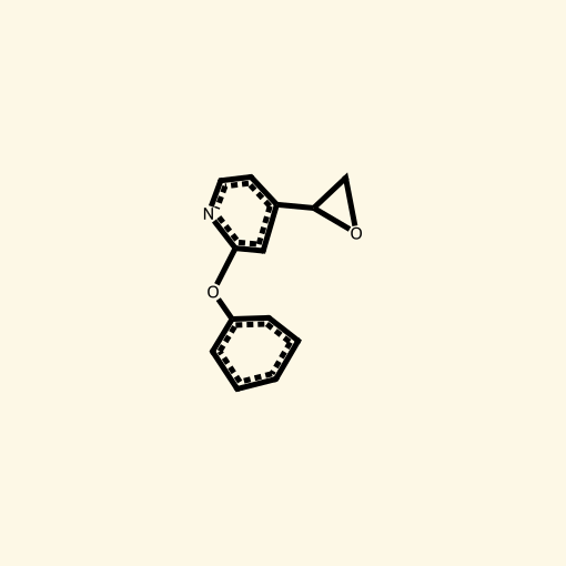 c1ccc(Oc2cc(C3CO3)ccn2)cc1